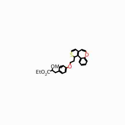 CCOC(=O)C(Cc1ccc(OCCC2SC=CC3=C2c2ccccc2OC=C3)cc1)OC